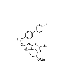 CO[C@H]1CC[C@]2(CC1)NC(=O)C(c1cc(-c3ccc(F)cc3)ccc1C)=C2OC(=O)C(C)(C)C